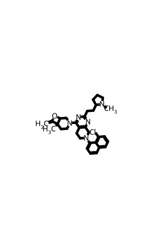 C=C1OC2CN(c3nc(CCC4CCCN4C)nc4c3CCN(c3cccc5cccc(Cl)c35)C4)CCC12C